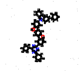 c1ccc(-c2ccc3c(c2)c2ccccc2n3-c2ccc3oc4cc5c(cc4c3c2)oc2ccc(-c3nc(-c4ccccc4)nc(-c4ccccc4)n3)cc25)cc1